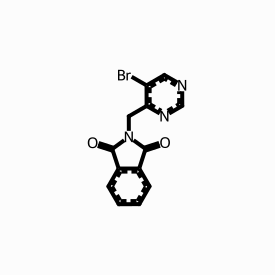 O=C1c2ccccc2C(=O)N1Cc1ncncc1Br